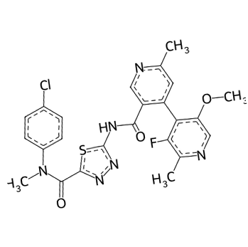 COc1cnc(C)c(F)c1-c1cc(C)ncc1C(=O)Nc1nnc(C(=O)N(C)c2ccc(Cl)cc2)s1